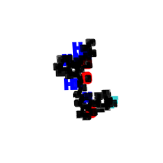 O=C(NCCc1cc2c(c(-c3ccc(F)cc3)n1)OCC2)c1cc(NC(=O)N2CCC2)c2ncccc2c1